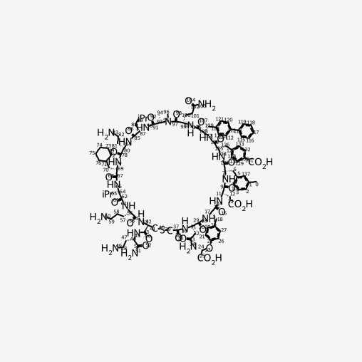 Cc1cccc(C[C@@H]2NC(=O)[C@H](CC(=O)O)NC(=O)[C@H](Cc3ccc(OCC(=O)O)cc3)NC(=O)[C@H](CC(N)=O)NC(=O)CSC[C@@H](C(=O)N[C@@H](CCN)C(N)=O)NC(=O)[C@H](CCCN)NC(=O)[C@H](C(C)C)NC(=O)[C@H](CC3CCCCC3)NC(=O)[C@H](CCN)NC(=O)[C@@H](CC(C)C)NC(=O)[C@H](C)N(C)C(=O)[C@H](CCC(N)=O)NC(=O)[C@H](Cc3ccc(-c4ccccc4)cc3)NC(=O)[C@H](Cc3ccc(C(=O)O)cc3)NC2=O)c1